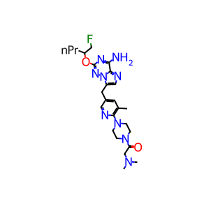 CCCC(CF)Oc1nc(N)c2ncc(Cc3cnc(N4CCN(C(=O)CN(C)C)CC4)c(C)c3)n2n1